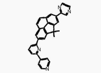 CC1(C)c2cc(-c3cnccn3)cc3ccc4cc(-c5cccc(-c6ccncc6)n5)cc1c4c23